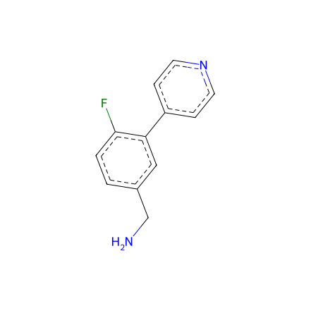 NCc1ccc(F)c(-c2ccncc2)c1